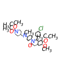 COc1cc2c(cc1OC(C)C)[C@H](c1ccc(Cl)cc1)N(c1ccc(N(C)CC3CCN(C(=O)OC(C)(C)C)CC3)cc1)C(=O)C2